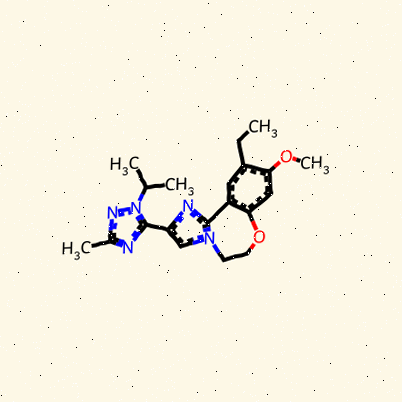 CCc1cc2c(cc1OC)OCCn1cc(-c3nc(C)nn3C(C)C)nc1-2